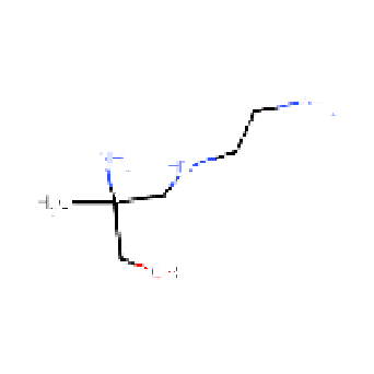 CC(N)(CO)CNCCN